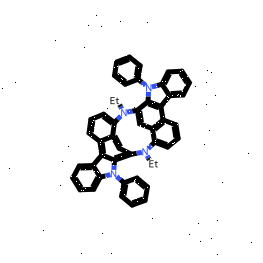 CCn1c2cccc3c2cc(c2c3c3ccccc3n2-c2ccccc2)n(CC)c2cccc3c2cc1c1c3c2ccccc2n1-c1ccccc1